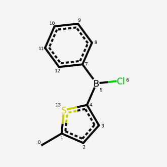 Cc1ccc(B(Cl)c2ccccc2)s1